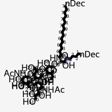 CCCCCCCCCCCCC/C=C/[C@@H](O)[C@H](CO[C@@H]1OC(CO)[C@@H](O[C@@H]2OC(CO)[C@H](O[C@@H]3OC(CO)[C@H](O)[C@H](O)C3NC(C)=O)[C@H](O[C@]3(C(=O)O)CC(O)[C@@H](NC(C)=O)C([C@H](O)[C@H](O)CO)O3)C2O)[C@H](O)C1O)NC(=O)CCCCCCCCCCCCCCCCCCCCCCCCC